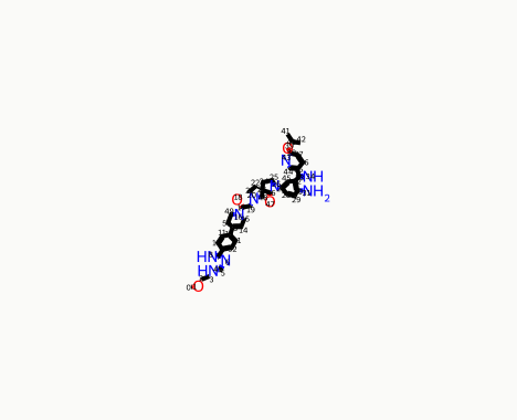 COCCN/C=N\C(=N)c1ccc(C2=CCN(C(=O)CN3CC[C@]4(CCN(c5ccc(N)c(C(=N)c6ccc(OC(C)C)nc6)c5)C4=O)C3)CC2)cc1